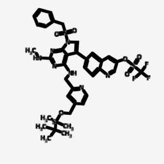 CNc1nc(NCc2cc(CO[Si](C)(C)C(C)(C)C)ccn2)c2c(-c3ccc4ncc(OS(=O)(=O)C(F)(F)F)cc4c3)cn(S(=O)(=O)Cc3ccccc3)c2n1